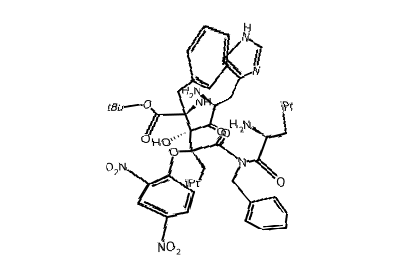 CC(C)C[C@H](N)C(=O)N(Cc1ccccc1)C(=O)[C@](CC(C)C)(Oc1ccc([N+](=O)[O-])cc1[N+](=O)[O-])[C@](O)(C(=O)[C@@H](N)Cc1c[nH]cn1)[C@@](N)(Cc1ccccc1)C(=O)OC(C)(C)C